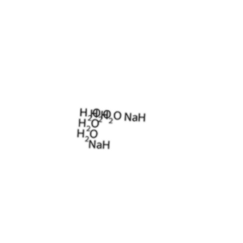 O.O.O.O.O.[NaH].[NaH]